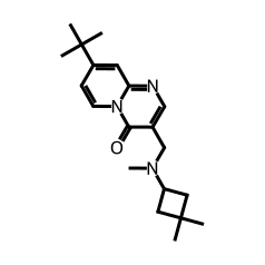 CN(Cc1cnc2cc(C(C)(C)C)ccn2c1=O)C1CC(C)(C)C1